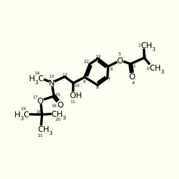 CC(C)C(=O)Oc1ccc(C(O)CN(C)C(=O)OC(C)(C)C)cc1